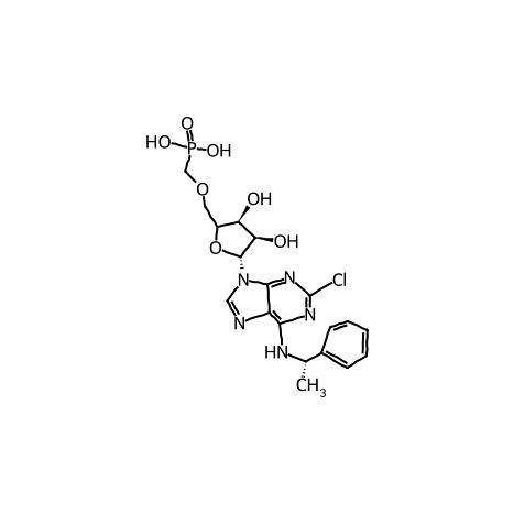 C[C@H](Nc1nc(Cl)nc2c1ncn2[C@@H]1OC(COCP(=O)(O)O)[C@@H](O)[C@H]1O)c1ccccc1